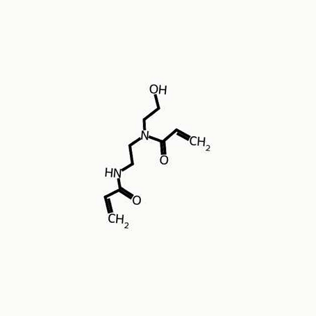 C=CC(=O)NCCN(CCO)C(=O)C=C